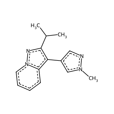 CC(C)c1nn2ccccc2c1-c1cnn(C)c1